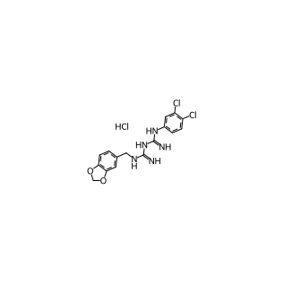 Cl.N=C(NCc1ccc2c(c1)OCO2)NC(=N)Nc1ccc(Cl)c(Cl)c1